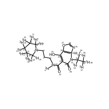 [2H]N(CCCN1C([2H])([2H])C([2H])([2H])C([2H])([2H])C([2H])([2H])C1([2H])[2H])C(=O)c1c(O)c2ocnc2n(C([2H])(C)C([2H])([2H])[2H])c1=O